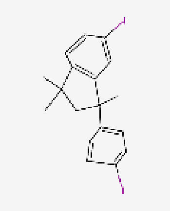 CC1(C)CC(C)(c2ccc(I)cc2)c2cc(I)ccc21